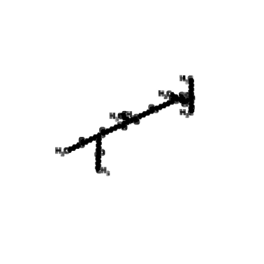 CCCCCCCCC(=O)OC(CCCCCC)CCC(C)(CCC)CCC(CCCC)OC(=O)CCCCCCCCOC(=O)CCCCCCCOC(=O)CCN(CCC(=O)OCCCCCCCC(=O)OCC(CCCCCCC(=O)OCCCCCCC)CCCCCCC(=O)OCCCCCCC)CCN(C)C